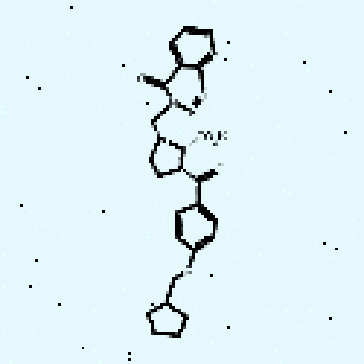 O=C(O)[C@H]1[C@H](Cn2nnc3ccccc3c2=O)CC[C@@H]1C(=O)c1ccc(OCC2CCCC2)cc1